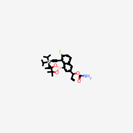 C=CC(OC(N)=O)c1cc(B2OC(C)(C)C(C)(C)O2)c2c(C#C[Si](C(C)C)(C(C)C)C(C)C)c(F)ccc2c1